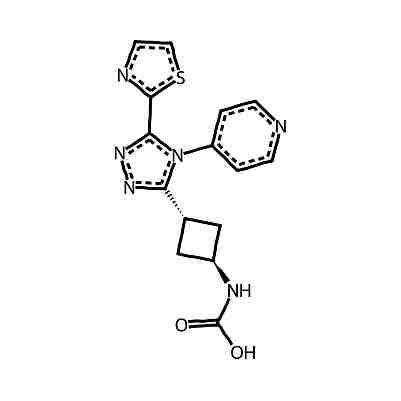 O=C(O)N[C@H]1C[C@H](c2nnc(-c3nccs3)n2-c2ccncc2)C1